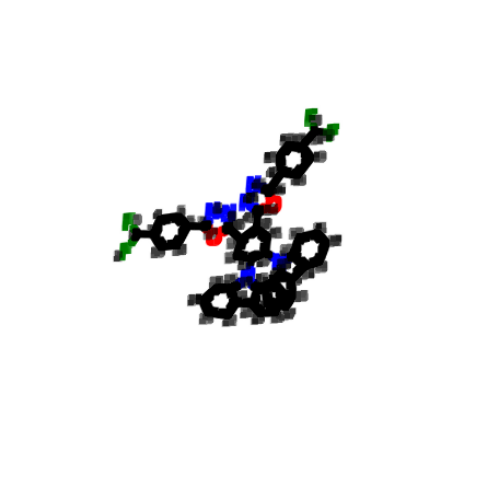 FC(F)c1ccc(-c2nnc(-c3cc(-n4c5ccccc5c5ccccc54)c(-n4c5ccccc5c5ccccc54)cc3-c3nnc(-c4ccc(C(F)F)cc4)o3)o2)cc1